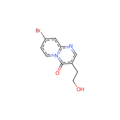 O=c1c(CCO)cnc2cc(Br)ccn12